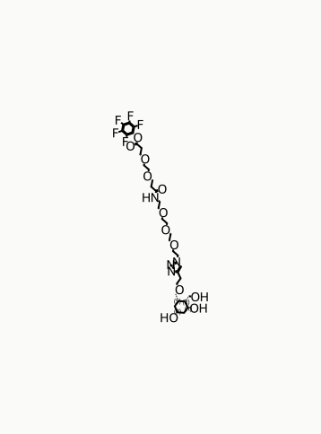 O=C(CCOCCOCCC(=O)Oc1c(F)c(F)c(F)c(F)c1F)NCCOCCOCCOCCn1cc(CCOC[C@H]2C[C@@H](O)C[C@@H](O)[C@H]2CO)nn1